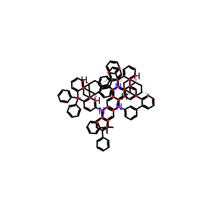 CC1(C)c2ccccc2-c2ccc(N(c3cccc(-c4ccccc4-c4ccc(-n5c6ccccc6c6ccccc65)c(-c5ccc(N(c6ccc(-c7ccccc7)cc6)c6ccc7c(c6)C6(c8ccccc8C7(c7ccccc7)c7ccccc7)[C@H]7C[C@@H](C)C[C@@H]6C[C@@H](C)C7)cc5)c4)c3)c3ccc4c(c3)C3(c5ccccc5C4(c4ccccc4)c4ccccc4)[C@H]4C[C@@H](C)C[C@@H]3C[C@@H](C)C4)cc21